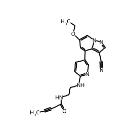 CC#CC(=O)NCCNc1ccc(-c2cc(OCC)cn3ncc(C#N)c23)cn1